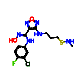 CNSCCCNc1nonc1/C(=N/O)Nc1ccc(F)c(Cl)c1